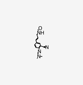 CN(C)C=Nc1ccc(C=CCNC=O)cc1C#N